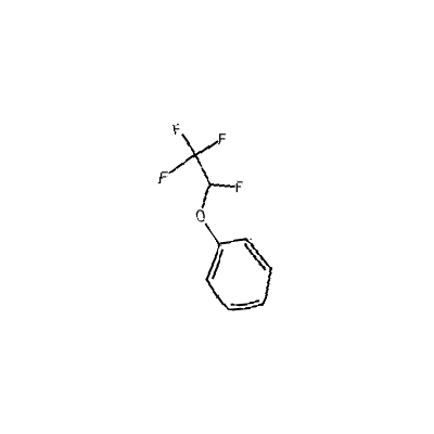 FC(Oc1[c]cccc1)C(F)(F)F